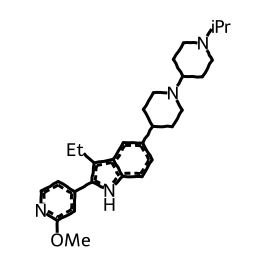 CCc1c(-c2ccnc(OC)c2)[nH]c2ccc(C3CCN(C4CCN(C(C)C)CC4)CC3)cc12